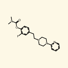 CN(C)C(=O)Oc1ccc(CCN2CCN(c3ccccn3)CC2)cc1F